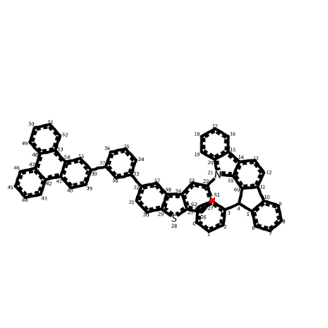 c1ccc(C2c3ccccc3-c3ccc4c5ccccc5n(-c5cc6c(cn5)sc5ccc(-c7cccc(-c8ccc9c%10ccccc%10c%10ccccc%10c9c8)c7)cc56)c4c32)cc1